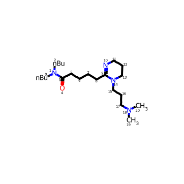 CCCCN(CCCC)C(=O)CCCCC1=NCCCN1CCCN(C)C